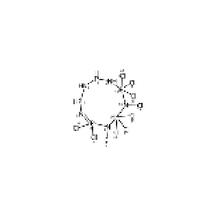 ClN1P(Cl)(Cl)=NPNPNP(Cl)(Cl)(Cl)N(Cl)P1(Cl)(Cl)Cl